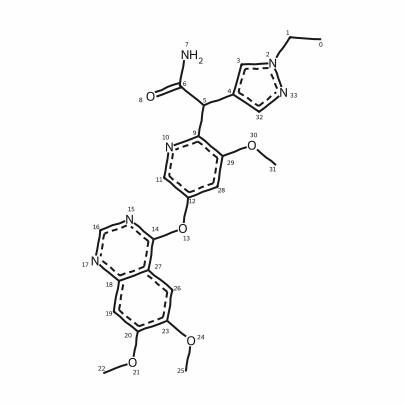 CCn1cc(C(C(N)=O)c2ncc(Oc3ncnc4cc(OC)c(OC)cc34)cc2OC)cn1